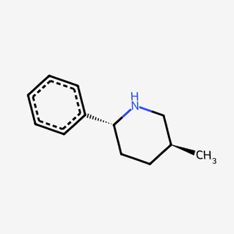 C[C@H]1CC[C@H](c2ccccc2)NC1